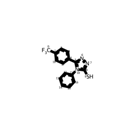 FC(F)(F)c1ccc(-c2nnc(S)n2-c2ccccc2)cc1